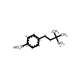 CC(C)(CCc1ccc(S(=O)(=O)O)cc1)[N+](=O)[O-]